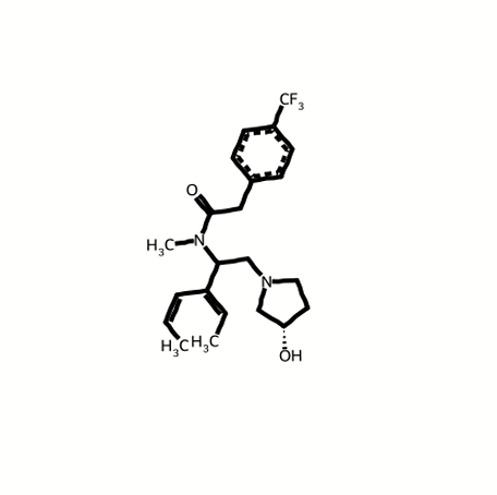 C/C=C\C(=C/C)C(CN1CC[C@H](O)C1)N(C)C(=O)Cc1ccc(C(F)(F)F)cc1